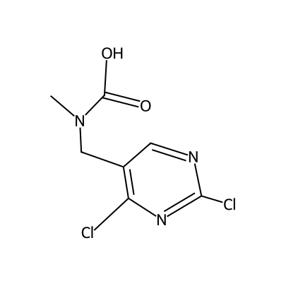 CN(Cc1cnc(Cl)nc1Cl)C(=O)O